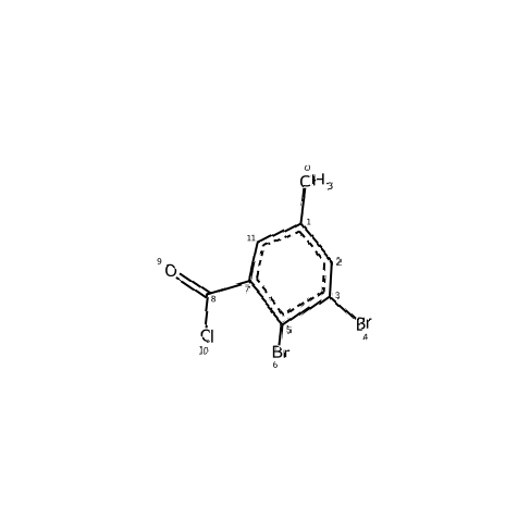 Cc1cc(Br)c(Br)c(C(=O)Cl)c1